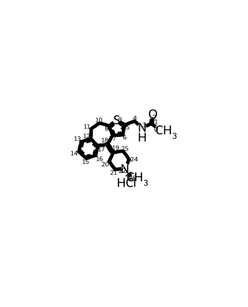 CC(=O)NCc1cc2c(s1)CCc1ccccc1C2=C1CCN(C)CC1.Cl